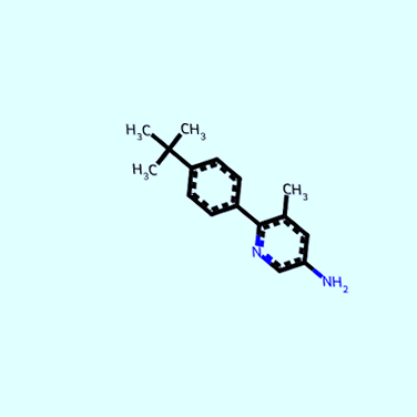 Cc1cc(N)cnc1-c1ccc(C(C)(C)C)cc1